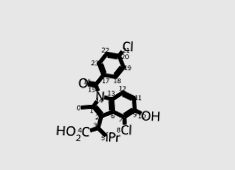 Cc1c(C(C(=O)O)C(C)C)c2c(Cl)c(O)ccc2n1C(=O)c1ccc(Cl)cc1